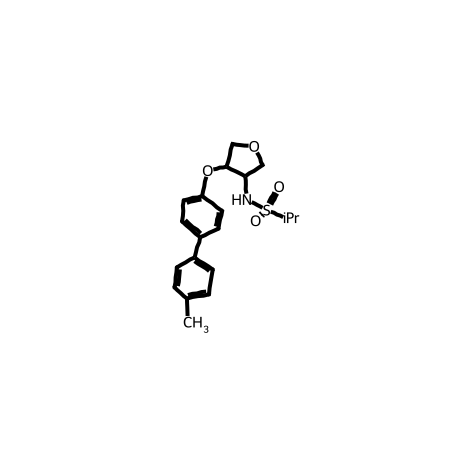 Cc1ccc(-c2ccc(OC3COCC3NS(=O)(=O)C(C)C)cc2)cc1